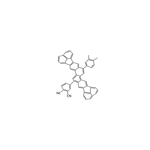 Cc1ccc(-c2cc3c4cc5c(cc4c(-c4ccc(C#N)c(C#N)c4)cc3c3cc4c(cc23)-c2cccc3cccc-4c23)-c2cccc3cccc-5c23)cc1C